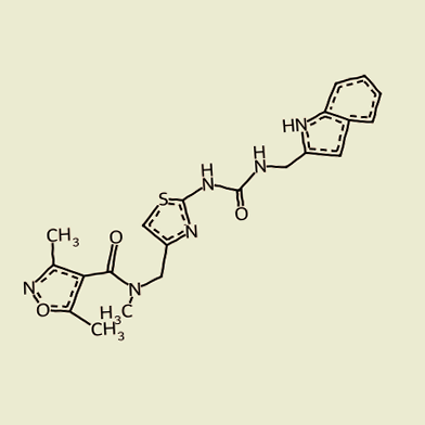 Cc1noc(C)c1C(=O)N(C)Cc1csc(NC(=O)NCc2cc3ccccc3[nH]2)n1